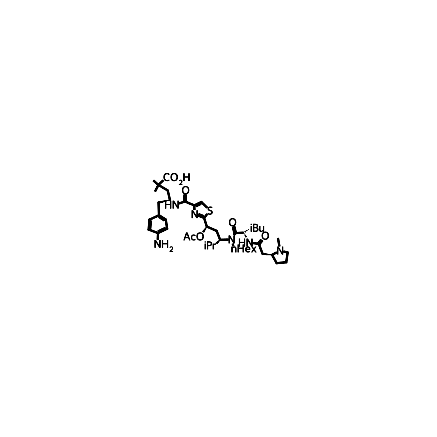 CCCCCCN(C(=O)[C@@H](NC(=O)C[C@@H]1CCCN1C)[C@@H](C)CC)[C@H](C[C@@H](OC(C)=O)c1nc(C(=O)N[C@@H](Cc2ccc(N)cc2)CC(C)(C)C(=O)O)cs1)C(C)C